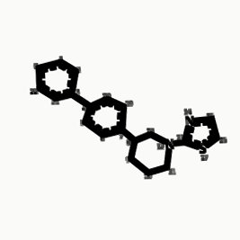 c1ccc(-c2ccc(C3CCCN(c4nccs4)C3)cc2)cc1